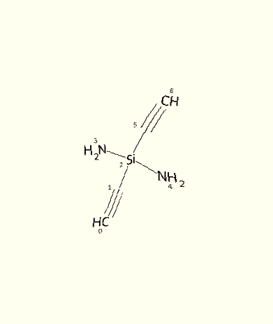 C#C[Si](N)(N)C#C